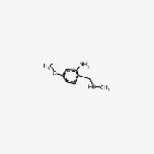 CBCc1ccc(OC)cc1N